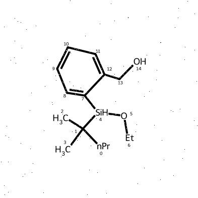 CCCC(C)(C)[SiH](OCC)c1ccccc1CO